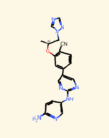 C[C@@H](Cn1cncn1)Oc1cc(-c2cnc(Nc3ccc(N)nc3)nc2)ccc1C#N